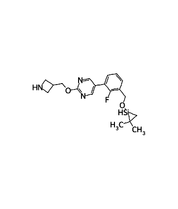 CC1(C)C[SiH]1OCc1cccc(-c2cnc(OCC3CNC3)nc2)c1F